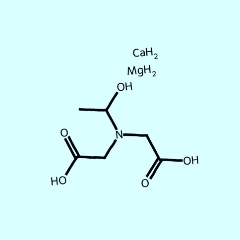 CC(O)N(CC(=O)O)CC(=O)O.[CaH2].[MgH2]